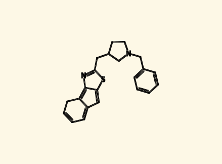 C1=CCC2=c3nc(CC4CCN(Cc5ccccc5)C4)sc3=CC2=C1